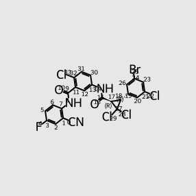 N#Cc1cc(F)ccc1NC(=O)c1cc(NC(=O)[C@H]2[C@H](c3cc(Cl)cc(Br)c3)C2(Cl)Cl)ccc1Cl